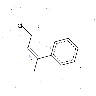 C/C(=C/CCl)c1ccccc1